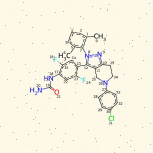 Cc1cccc(C)c1-n1nc2c(c1-c1cc(F)c(NC(N)=O)cc1F)CN(c1ccc(Cl)cc1)CC2